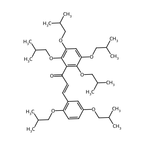 CC(C)COc1ccc(OCC(C)C)c(C=CC(=O)c2c(OCC(C)C)c(OCC(C)C)cc(OCC(C)C)c2OCC(C)C)c1